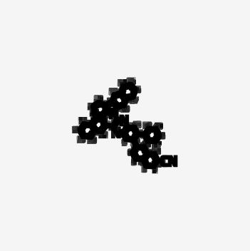 N#Cc1ccc2ccc(-c3cc4nc(-c5ccc6ccccc6c5)c(-n5c6ccccc6c6cc7ccccc7cc65)nc4cc3-c3ccccc3)cc2c1